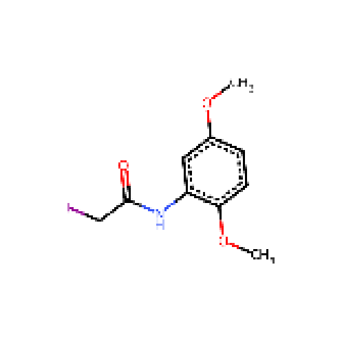 COc1ccc(OC)c(NC(=O)CI)c1